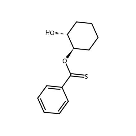 O[C@@H]1CCCC[C@H]1OC(=S)c1ccccc1